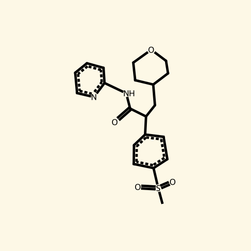 CS(=O)(=O)c1ccc(C(CC2CCOCC2)C(=O)Nc2ccccn2)cc1